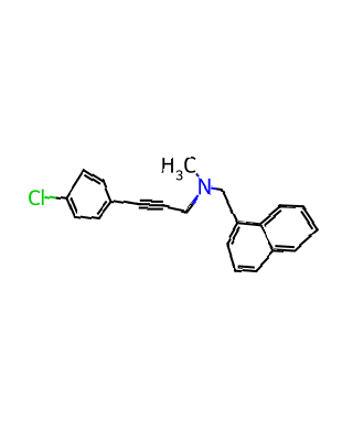 CN(CC#Cc1ccc(Cl)cc1)Cc1cccc2ccccc12